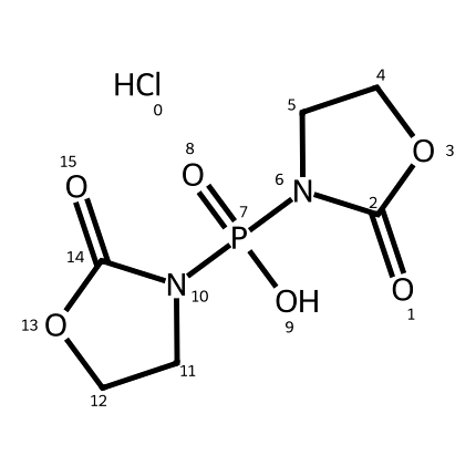 Cl.O=C1OCCN1P(=O)(O)N1CCOC1=O